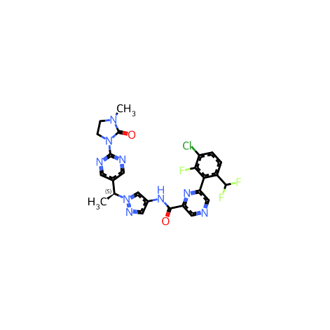 C[C@@H](c1cnc(N2CCN(C)C2=O)nc1)n1cc(NC(=O)c2cncc(-c3c(C(F)F)ccc(Cl)c3F)n2)cn1